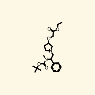 CCOC(=O)COC1CCN(CC(c2ccccc2)N(C)C(=O)OC(C)(C)C)C1